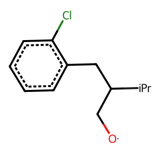 CC(C)C(C[O])Cc1ccccc1Cl